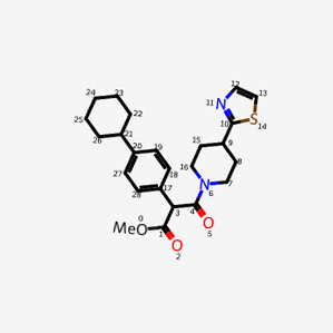 COC(=O)C(C(=O)N1CCC(c2nccs2)CC1)c1ccc(C2CCCCC2)cc1